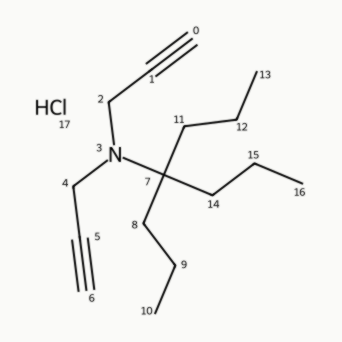 C#CCN(CC#C)C(CCC)(CCC)CCC.Cl